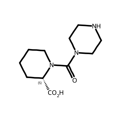 O=C(O)[C@@H]1CCCCN1C(=O)N1CCNCC1